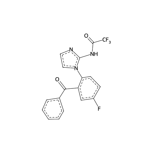 O=C(c1ccccc1)c1cc(F)ccc1-n1ccnc1NC(=O)C(F)(F)F